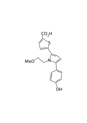 COCCn1c(-c2ccc(O)cc2)ccc1-c1ccc(C(=O)O)s1